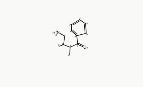 CC(CN)C(C)C(=O)c1ccccc1